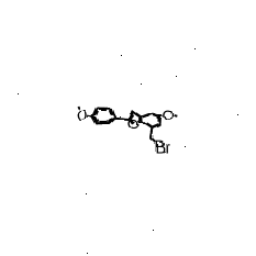 COc1ccc(-c2cc3cc(OC)cc(CBr)c3o2)cc1